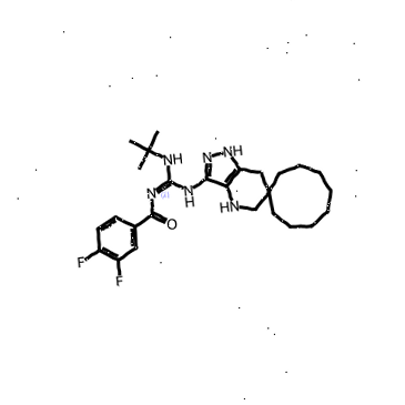 CC(C)(C)N/C(=N/C(=O)c1ccc(F)c(F)c1)Nc1n[nH]c2c1NCC1(CCCCCCCC1)C2